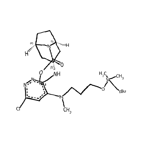 CN(CCCO[Si](C)(C)C(C)(C)C)c1cc(Cl)nnc1N[C@@H]1C[C@H]2CC[C@@H](C1)N2C(=O)OC(C)(C)C